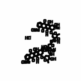 COc1cccc2c1C(=O)c1c(O)c3c(c(O)c1C2=O)C[C@@](O)(C(C)=O)C[C@@H]3OC1CC(NOC(=O)CC(O)(CC(=O)ONC2CC(O[C@H]3C[C@](O)(C(C)=O)Cc4c(O)c5c(c(O)c43)C(=O)c3c(OC)cccc3C5=O)OC(C)C2O)C(=O)O)C(O)C(C)O1.Cl